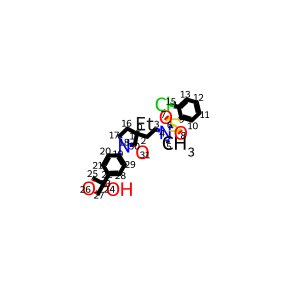 CCC1(CCN(C)S(=O)(=O)c2ccccc2Cl)CCN(c2ccc(C3(O)COC3)cc2)C1=O